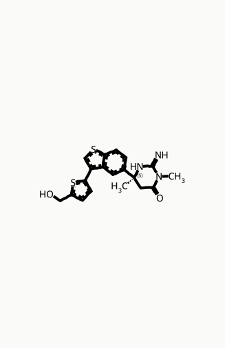 CN1C(=N)N[C@](C)(c2ccc3scc(-c4ccc(CO)s4)c3c2)CC1=O